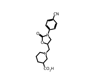 N#Cc1ccc(N2CC(CN3CCCC(C(=O)O)C3)OC2=O)cc1